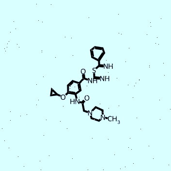 CN1CCN(CC(=O)Nc2cc(C(=O)NC(=N)SC(=N)c3ccccc3)ccc2OC2CC2)CC1